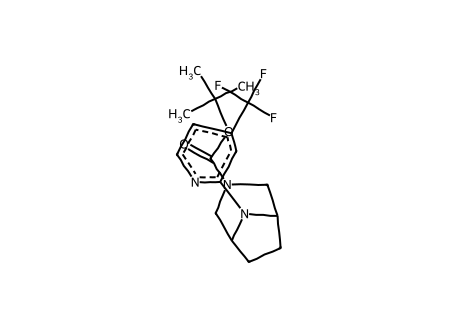 CC(C)(C)OC(=O)N1CC2CCC(C1)N2c1cc(C(F)(F)F)ccn1